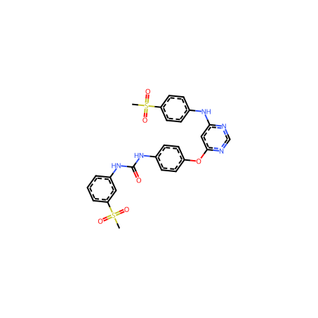 CS(=O)(=O)c1ccc(Nc2cc(Oc3ccc(NC(=O)Nc4cccc(S(C)(=O)=O)c4)cc3)ncn2)cc1